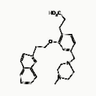 CN1CCN(Cc2ccc(CCC(=O)O)c(OCCc3ccc4ccccc4c3)c2)CC1